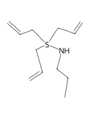 C=CCS(CC=C)(CC=C)NCCC